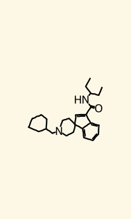 CCC(CC)NC(=O)C1=CC2(CCN(CC3CCCCC3)CC2)c2ccccc21